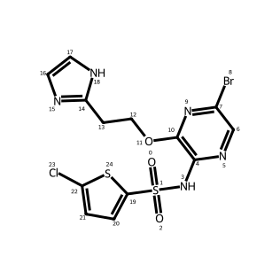 O=S(=O)(Nc1ncc(Br)nc1OCCc1ncc[nH]1)c1ccc(Cl)s1